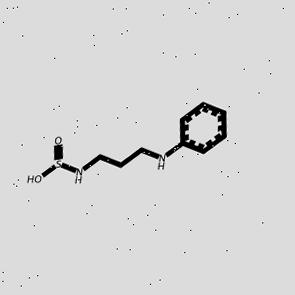 O=S(O)NCCCNc1ccccc1